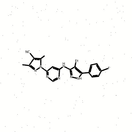 CCc1c(Nc2cc(-n3nc(C)c(C#N)c3C)ncn2)n[nH]c1-c1ccc(F)cc1